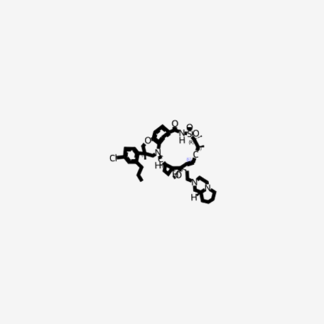 CCCc1cc(Cl)ccc1[C@]1(C)COc2ccc3cc2N(C[C@@H]2CC[C@H]2[C@](CCN2CCN4CCCC[C@@H]4C2)(OC)/C=C/C[C@H](C)[C@@H](C)S(=O)(=O)NC3=O)C1